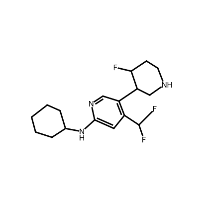 FC(F)c1cc(NC2CCCCC2)ncc1C1CNCCC1F